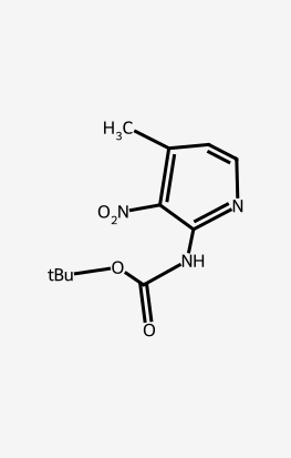 Cc1ccnc(NC(=O)OC(C)(C)C)c1[N+](=O)[O-]